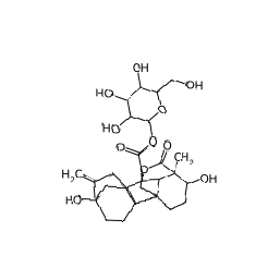 C=C1CC23CC1(O)CCC2C12CCC(O)C(C)(C(=O)OC1)C2C3C(=O)OC1OC(CO)C(O)C(O)C1O